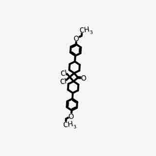 CCOc1ccc(C2CCC3(CC2)C(=O)C2(CCC(c4ccc(OCC)cc4)CC2)C3(Cl)Cl)cc1